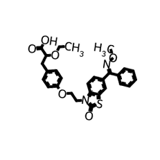 CCOC(Cc1ccc(OCCn2c(=O)sc3cc(C(=NOC)c4ccccc4)ccc32)cc1)C(=O)O